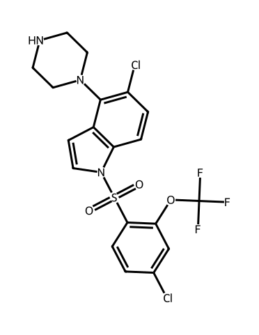 O=S(=O)(c1ccc(Cl)cc1OC(F)(F)F)n1ccc2c(N3CCNCC3)c(Cl)ccc21